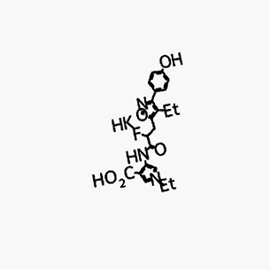 CCc1c(-c2ccc(O)cc2)noc1CC(F)C(=O)Nc1cn(CC)cc1C(=O)O.[KH]